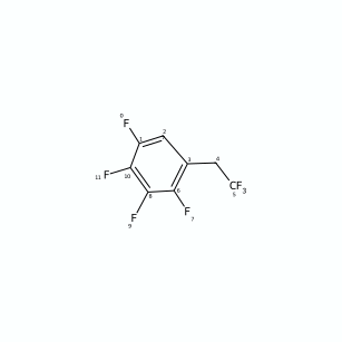 Fc1[c]c(CC(F)(F)F)c(F)c(F)c1F